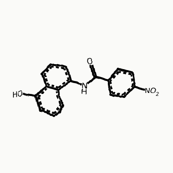 O=C(Nc1cccc2c(O)cccc12)c1ccc([N+](=O)[O-])cc1